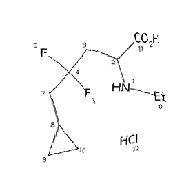 CCNC(CC(F)(F)CC1CC1)C(=O)O.Cl